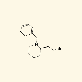 BrCC[C@H]1CCCCN1Cc1ccccc1